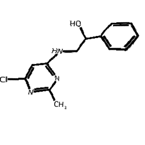 Cc1nc(Cl)cc(NCC(O)c2ccccc2)n1